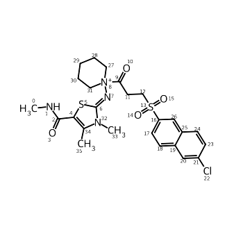 CNC(=O)c1s/c(=N\[N+]2(C(=O)CCS(=O)(=O)c3ccc4cc(Cl)ccc4c3)CCCCC2)n(C)c1C